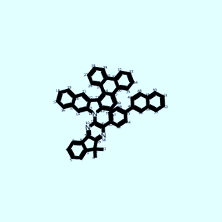 CC1(C)c2ccccc2-c2nc(-n3c4cc5ccccc5cc4c4c5c6ccccc6c6ccccc6c5ccc43)c(-c3ccc(-c4ccc5ccccc5c4)cc3)nc21